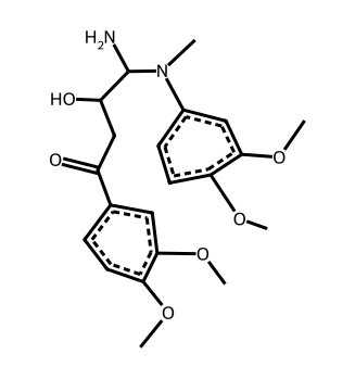 COc1ccc(C(=O)CC(O)C(N)N(C)c2ccc(OC)c(OC)c2)cc1OC